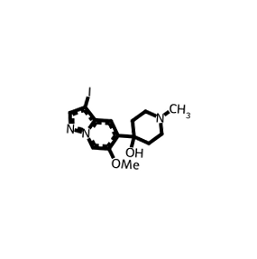 COc1cn2ncc(I)c2cc1C1(O)CCN(C)CC1